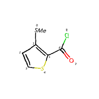 CSc1ccsc1C(=O)Cl